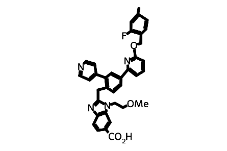 COCCn1c(Cc2ccc(-c3cccc(OCc4ccc(C)cc4F)n3)cc2-c2ccncc2)nc2ccc(C(=O)O)cc21